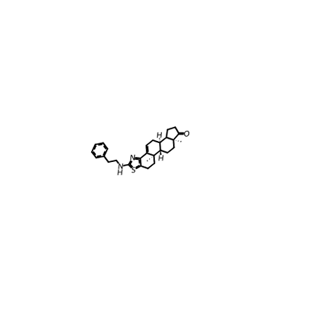 C[C@]12CCc3sc(NCCc4ccccc4)nc3C1=CC[C@H]1C3CCC(=O)[C@@]3(C)CC[C@@H]12